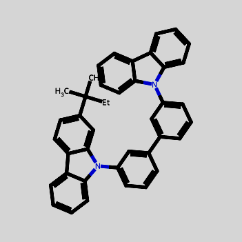 CCC(C)(C)c1ccc2c3ccccc3n(-c3cccc(-c4cccc(-n5c6ccccc6c6ccccc65)c4)c3)c2c1